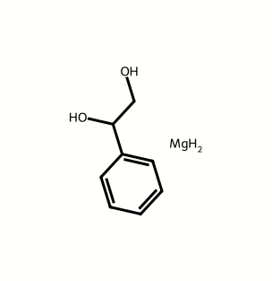 OCC(O)c1ccccc1.[MgH2]